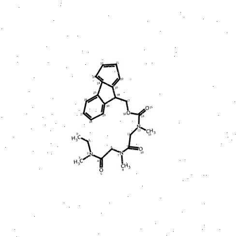 CCN(C)C(=O)CN(C)C(=O)CN(C)C(=O)OCC1c2ccccc2-c2ccccc21